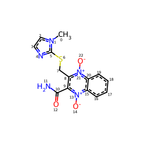 Cn1ccnc1SCc1c(C(N)=O)[n+]([O-])c2ccccc2[n+]1[O-]